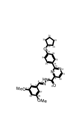 COc1cc(/C=N/NC(=O)c2ccnc(-c3ccc(OC4CCCC4)cc3)n2)cc(OC)c1